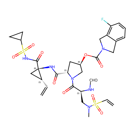 C=C[C@@H]1C[C@]1(NC(=O)[C@@H]1C[C@@H](OC(=O)N2Cc3cccc(F)c3C2)CN1C(=O)[C@H](CN(C)S(=O)(=O)C=C)NC=O)C(=O)NS(=O)(=O)C1CC1